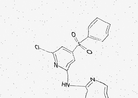 Cc1ccc(Nc2cc(S(=O)(=O)c3ccccc3)cc(Cl)n2)nc1